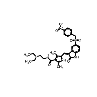 CCN(CC)CCNC(=O)c1c(C)[nH]c(/C=C2\C(=O)Nc3ccc(S(=O)(=O)Cc4ccc([N+](=O)[O-])cc4)cc32)c1C